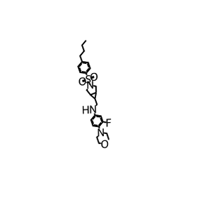 CCCCc1ccc(S(=O)(=O)N2CC3C(CNc4ccc(N5CCOCC5)c(F)c4)C3C2)cc1